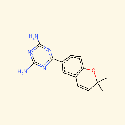 CC1(C)C=Cc2cc(-c3nc(N)nc(N)n3)ccc2O1